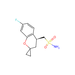 NS(=O)(=O)C[C@H]1CC2(CC2)Oc2cc(F)ccc21